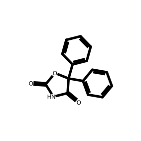 O=C1NC(=O)C(c2ccccc2)(c2ccccc2)O1